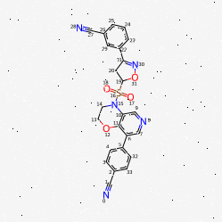 N#Cc1ccc(-c2cncc3c2OCCN3S(=O)(=O)C2CC(c3cccc(C#N)c3)=NO2)cc1